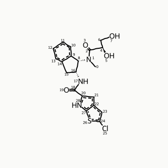 CN(C(=O)[C@H](O)CO)[C@H]1c2ccccc2C[C@H]1NC(=O)c1cc2cc(Cl)sc2[nH]1